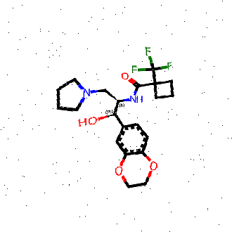 O=C(N[C@H](CN1CCCC1)[C@H](O)c1ccc2c(c1)OCCO2)C1(C(F)(F)F)CCC1